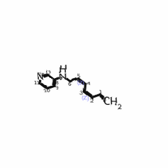 C=C/C=C\C=C/CNc1cccnc1